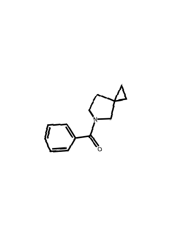 O=C(c1ccccc1)N1CCC2(CC2)C1